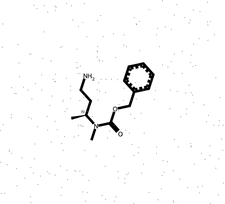 C[C@@H](CCN)N(C)C(=O)OCc1ccccc1